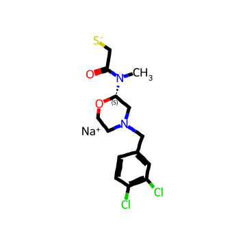 CN(C(=O)C[S-])[C@@H]1CN(Cc2ccc(Cl)c(Cl)c2)CCO1.[Na+]